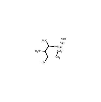 CC(=O)O.CC(O)C(N)CN.[NaH].[NaH].[NaH]